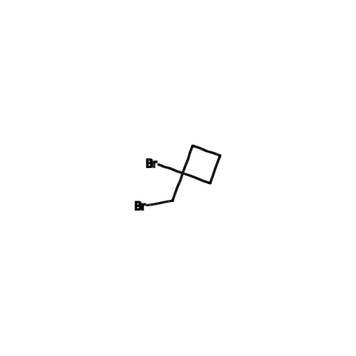 BrCC1(Br)CCC1